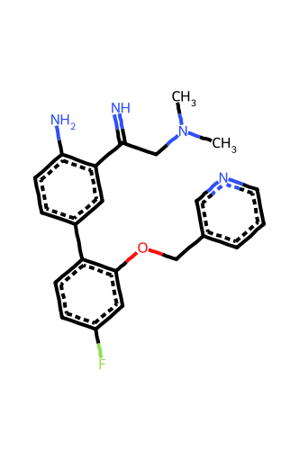 CN(C)CC(=N)c1cc(-c2ccc(F)cc2OCc2cccnc2)ccc1N